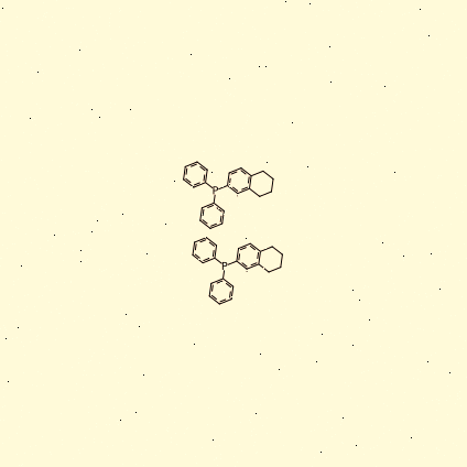 [c]1c(P(c2ccccc2)c2ccccc2)ccc2c1CCCC2.[c]1c(P(c2ccccc2)c2ccccc2)ccc2c1CCCC2